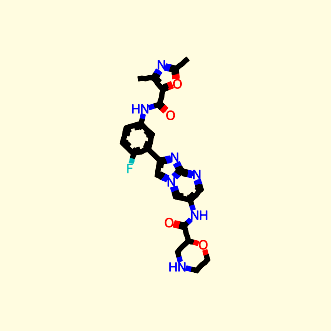 Cc1nc(C)c(C(=O)Nc2ccc(F)c(-c3cn4cc(NC(=O)C5CNCCO5)cnc4n3)c2)o1